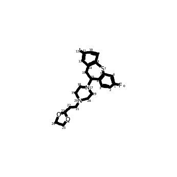 Fc1ccc2c(c1)Sc1ccc(I)cc1CC2N1CCN(CCC2OCCO2)CC1